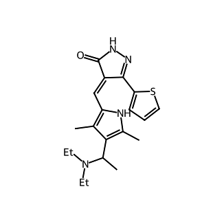 CCN(CC)C(C)c1c(C)[nH]c(/C=C2/C(=O)NN=C2c2cccs2)c1C